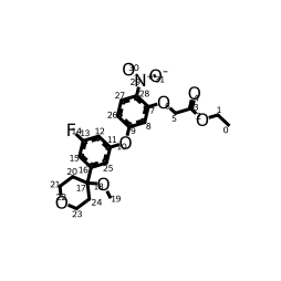 CCOC(=O)COc1cc(Oc2cc(F)cc(C3(OC)CCOCC3)c2)ccc1[N+](=O)[O-]